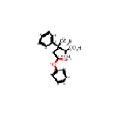 C=C(C(=O)O)C(CC(=O)Oc1ccccc1)(C(=O)O)c1ccccc1